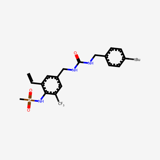 C=Cc1cc(CNC(=O)NCc2ccc(C(C)(C)C)cc2)cc(C(F)(F)F)c1NS(C)(=O)=O